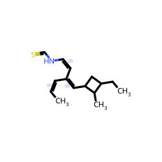 C\C=C/C(/C=C\NC=S)=C/C1CC(CC)C1C